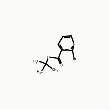 CC(C)(C)OC(=O)c1cccnc1Br